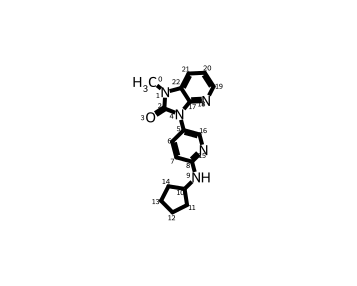 Cn1c(=O)n(-c2ccc(NC3CCCC3)nc2)c2ncccc21